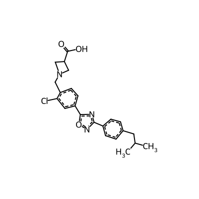 CC(C)Cc1ccc(-c2noc(-c3ccc(CN4CC(C(=O)O)C4)c(Cl)c3)n2)cc1